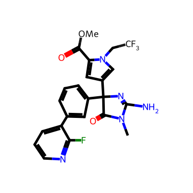 COC(=O)c1cc(C2(c3cccc(-c4cccnc4F)c3)N=C(N)N(C)C2=O)cn1CC(F)(F)F